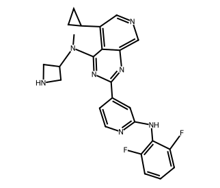 CN(c1nc(-c2ccnc(Nc3c(F)cccc3F)c2)nc2cncc(C3CC3)c12)C1CNC1